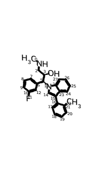 CNC[C@@H](O)[C@H](c1cccc(F)c1)n1cc(-c2ccccc2C)c2ccccc21